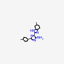 Cc1ccc(-c2cnc(N)c(-c3nc4ccc(C)cc4[nH]3)n2)cc1